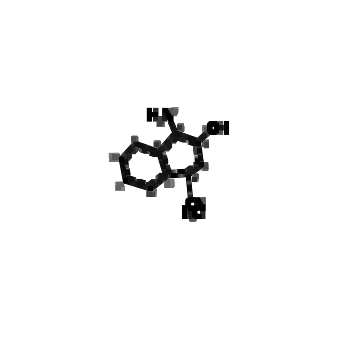 Cl.N#Cc1cc(O)c(N)c2ccccc12